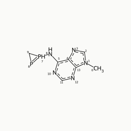 Cn1cnc2c(N[PH]3=PC3)ncnc21